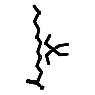 CC[P+](CC)(CC)CC.COCCOCCOCCC(=O)[O-]